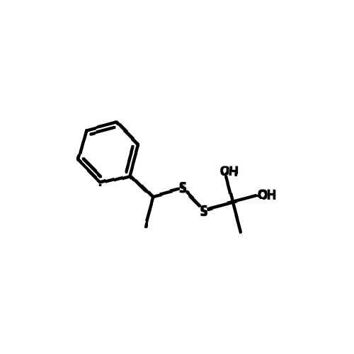 CC(SSC(C)(O)O)c1[c]cccc1